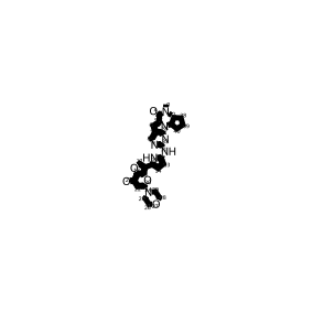 CN(C)C(=O)c1cc2cnc(Nc3ccc(-c4coc5c(=O)cc(N6CCOCC6)oc45)[nH]3)nc2n1C1CCCC1